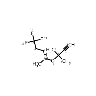 C#CC(C)(C)O[SiH](C)CCC(F)(F)F